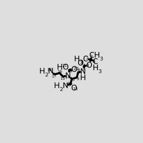 CC(C)(C)OC(=O)NCCC(C(N)=O)N(CCCN)C(=O)O